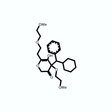 COCCOCCC1=C(O)C(OCCOC)(C(c2ccccc2)C2CCCCC2)C(=O)CO1